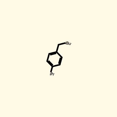 CC[C](C)Cc1ccc(C(C)C)cc1